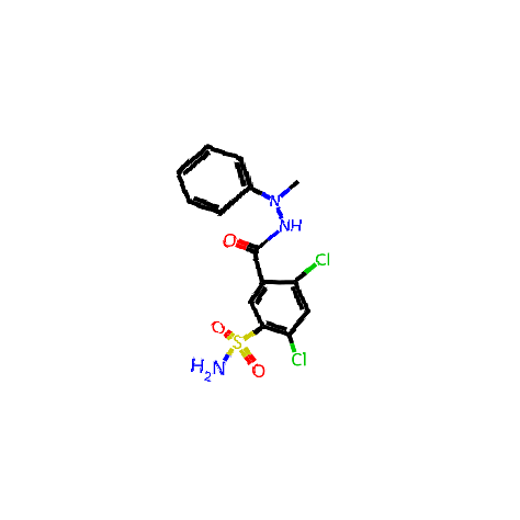 CN(NC(=O)c1cc(S(N)(=O)=O)c(Cl)cc1Cl)c1ccccc1